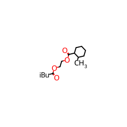 CCC(C)C(=O)OCCOC(=O)C1CCCCC1C